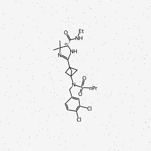 CCCS(=O)(=O)N(Cc1ccc(Cl)c(Cl)c1)C12CC(C3=NC(C)(C)[C@H](C(=O)NCC)N3)(C1)C2